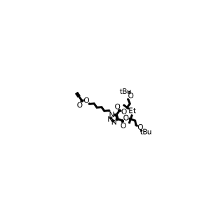 C#CC(=O)OCCCCCCn1nnc(C(=O)OC(C)(C)CCOC(C)(C)C)c1C(=O)OC(C)(CC)CCOC(C)(C)C